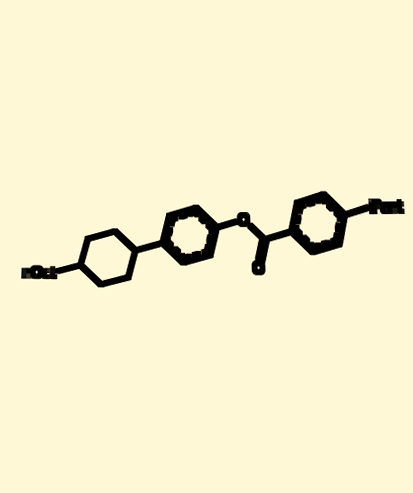 CCCCCCCCC1CCC(c2ccc(OC(=O)c3ccc(C(C)CCC)cc3)cc2)CC1